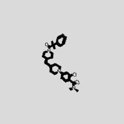 CN(C)C(=O)c1ccc(N2CCC(CC3CCN(C(=O)C(C)(C)c4ccccc4)CC3)CC2)cc1Cl